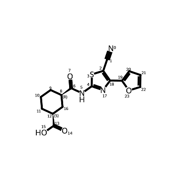 N#Cc1sc(NC(=O)[C@@H]2CCC[C@H](C(=O)O)C2)nc1-c1ccco1